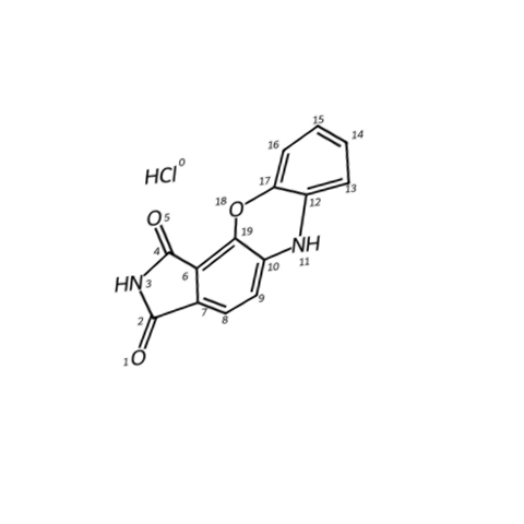 Cl.O=c1[nH]c(=O)c2c1ccc1[nH]c3ccccc3oc12